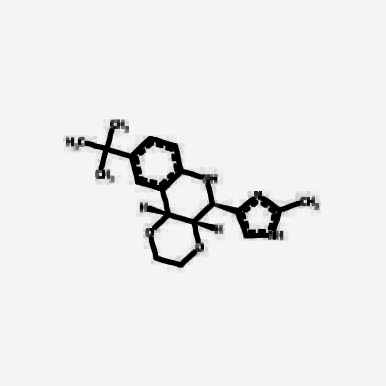 Cc1nc([C@@H]2Nc3ccc(C(C)(C)C)cc3[C@H]3OCCO[C@H]32)c[nH]1